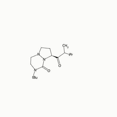 CC(C)C(C)C(=O)[C@@H]1CCN2CCN(C(C)(C)C)C(=O)N12